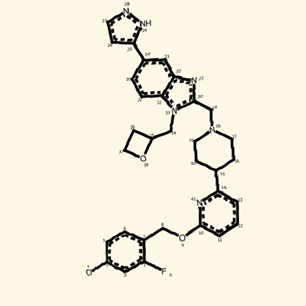 Fc1cc(Cl)ccc1COc1cccc(C2CCN(Cc3nc4cc(-c5ccn[nH]5)ccc4n3CC3CCO3)CC2)n1